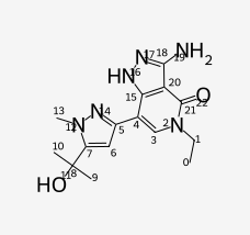 CCn1cc(-c2cc(C(C)(C)O)n(C)n2)c2[nH]nc(N)c2c1=O